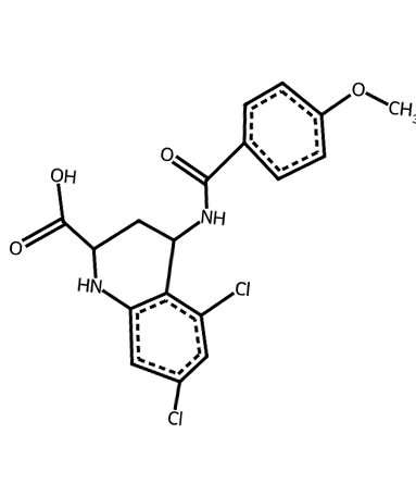 COc1ccc(C(=O)NC2CC(C(=O)O)Nc3cc(Cl)cc(Cl)c32)cc1